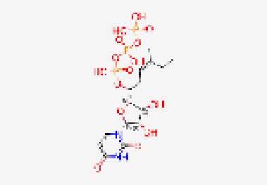 CCC(C)=CCC(OP(=O)(O)OP(=O)(O)OP(=O)(O)O)[C@H]1O[C@@H](n2ccc(=O)[nH]c2=O)[C@H](O)[C@@H]1O